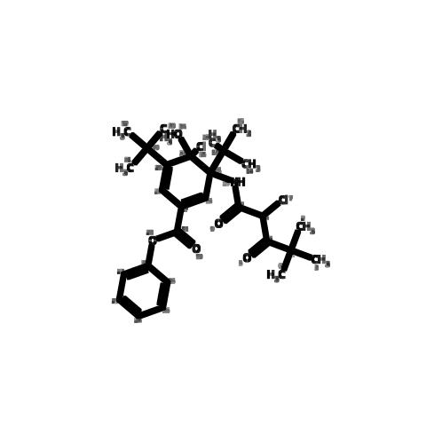 CC(C)(C)C(=O)C(Cl)C(=O)NC1(C(C)(C)C)C=C(C(=O)Oc2ccccc2)C=C(C(C)(C)C)C1(O)Cl